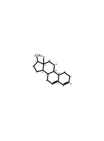 CC(=O)OC1CCC2C3CC=C4C=CCCC4C3CCC12C